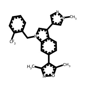 Cc1noc(C)c1-c1ccc2c(-c3cnn(C)c3)cn(Cc3ccccc3C(F)(F)F)c2c1